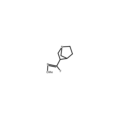 CON=C(F)C1CN2CCC1C2